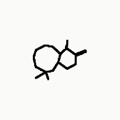 CN1C(=O)CCC2CC(C)(C)CCCCCC21